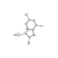 CCc1nc2c(F)cc(Cl)cn2c1C(=O)O